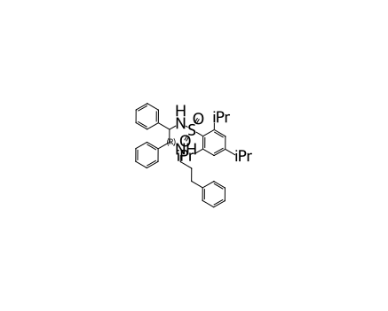 CC(C)c1cc(C(C)C)c(S(=O)(=O)NC(c2ccccc2)[C@H](NCCCc2ccccc2)c2ccccc2)c(C(C)C)c1